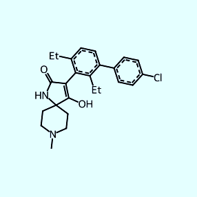 CCc1ccc(-c2ccc(Cl)cc2)c(CC)c1C1=C(O)C2(CCN(C)CC2)NC1=O